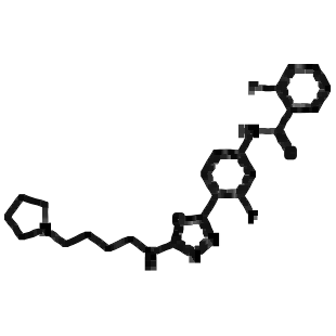 O=C(Nc1ccc(-c2nnc(NCCCCN3CCCC3)o2)c(F)c1)c1ccccc1F